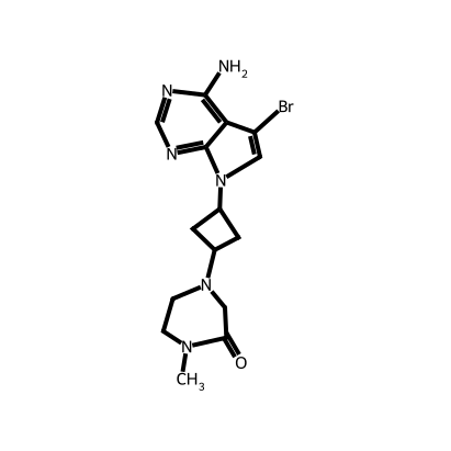 CN1CCN(C2CC(n3cc(Br)c4c(N)ncnc43)C2)CC1=O